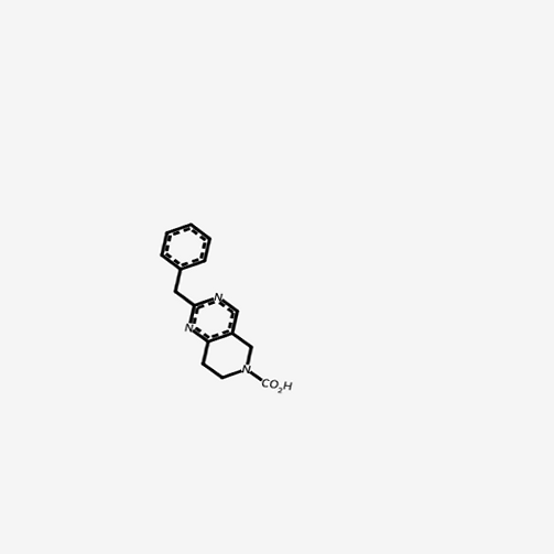 O=C(O)N1CCc2nc(Cc3ccccc3)ncc2C1